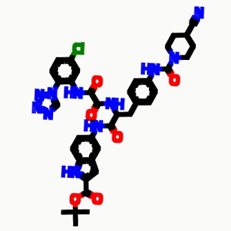 CC(C)(C)OC(=O)c1cc2cc(NC(=O)C(Cc3ccc(NC(=O)N4CCC(C#N)CC4)cc3)NC(=O)C(=O)Nc3cc(Cl)ccc3-n3cnnn3)ccc2[nH]1